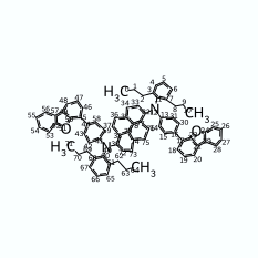 CCCc1cccc(CCC)c1N(c1ccc(-c2cccc3c2oc2ccccc23)cc1)c1ccc2ccc3c(N(c4ccc(-c5cccc6c5oc5ccccc56)cc4)c4c(CCC)cccc4CCC)ccc4ccc1c2c43